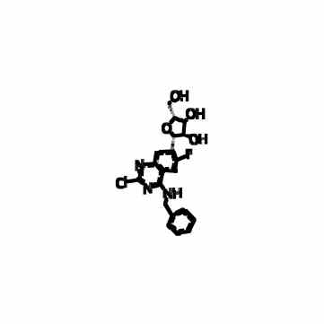 OC[C@H]1O[C@@H](c2cc3nc(Cl)nc(NCc4ccccc4)c3cc2F)[C@H](O)[C@@H]1O